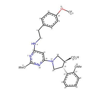 COc1nc(NCCc2ccc(OC(F)(F)F)cc2)cc(N2C[C@@H](C(=O)O)[C@H](c3ccccc3OC)C2)n1